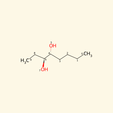 CCCC[C@@H](O)[C@@H](O)CC